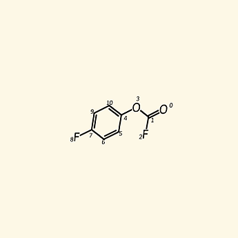 O=C(F)Oc1ccc(F)cc1